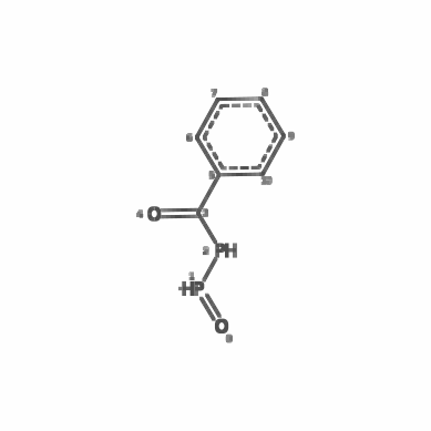 O=[PH]PC(=O)c1ccccc1